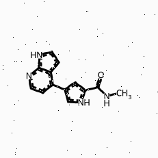 CNC(=O)c1cc(-c2ccnc3[nH]ccc23)c[nH]1